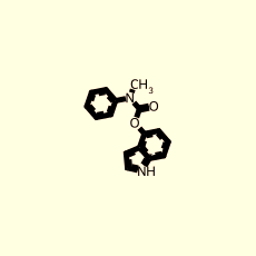 CN(C(=O)Oc1cccc2[nH]ccc12)c1ccccc1